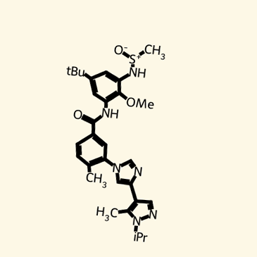 COc1c(NC(=O)c2ccc(C)c(-n3cnc(-c4cnn(C(C)C)c4C)c3)c2)cc(C(C)(C)C)cc1N[S+](C)[O-]